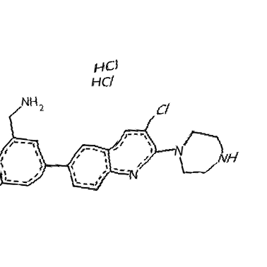 Cc1cc(CN)cc(-c2ccc3nc(N4CCNCC4)c(Cl)cc3c2)c1.Cl.Cl